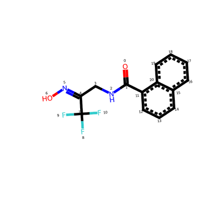 O=C(NC/C(=N/O)C(F)(F)F)c1cccc2ccccc12